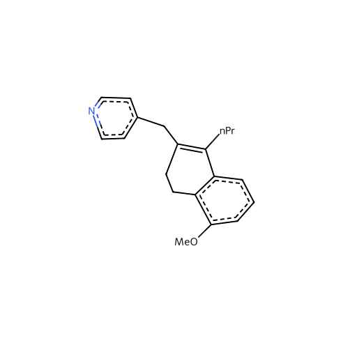 CCCC1=C(Cc2ccncc2)CCc2c(OC)cccc21